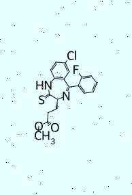 COC(=O)CC[C@@H]1N=C(c2ccccc2F)c2cc(Cl)ccc2NC1=S